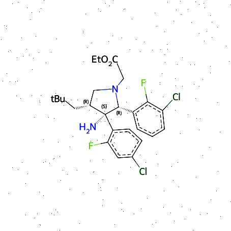 CCOC(=O)CN1C[C@@H](CC(C)(C)C)[C@](N)(c2ccc(Cl)cc2F)[C@H]1c1cccc(Cl)c1F